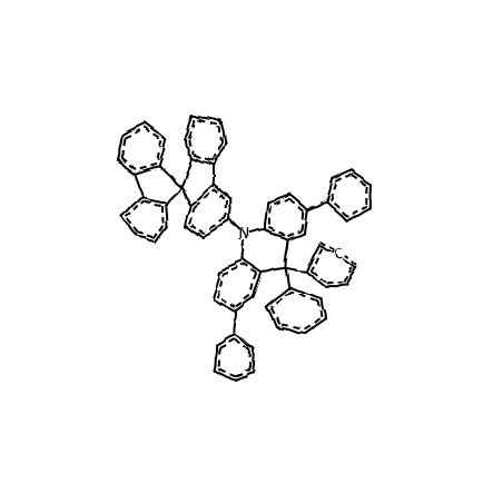 c1ccc(-c2ccc3c(c2)C(c2ccccc2)(c2ccccc2)c2cc(-c4ccccc4)ccc2N3c2ccc3c(c2)-c2ccccc2C32c3ccccc3-c3ccccc32)cc1